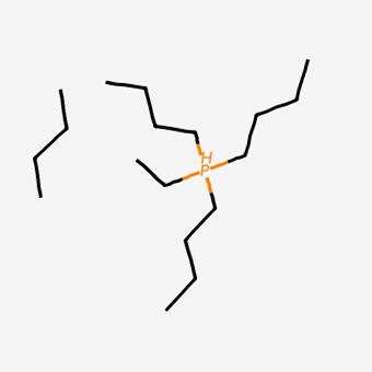 CCCC.CCCC[PH](CC)(CCCC)CCCC